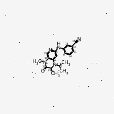 CC(C)N1c2cc(Nc3cccc(C#N)c3)ncc2N(C)C(=O)C1C